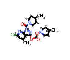 Cc1cc(Cl)nc2c1c(OC(=O)ON1CCC(C)CC1)nn2C(=O)N1CCC(C)CC1